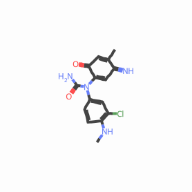 CNc1ccc(N(C(N)=O)C2=CC(=N)C(C)=CC2=O)cc1Cl